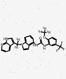 [2H]C([2H])([2H])Oc1ccc(C(F)(F)F)cc1NC(=O)Nc1cccc2c1ccn2C([2H])([2H])c1c[nH]c2ncccc12